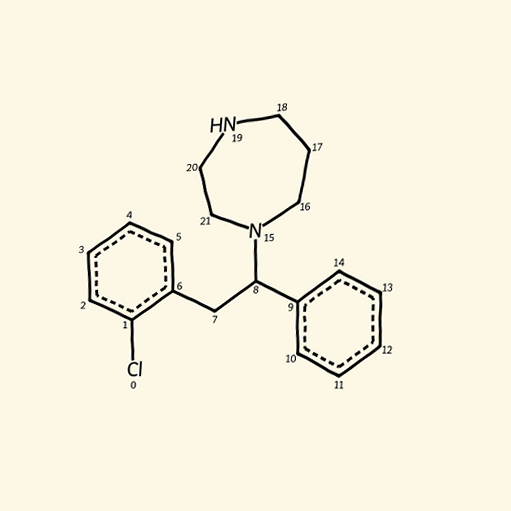 Clc1ccccc1CC(c1ccccc1)N1CCCNCC1